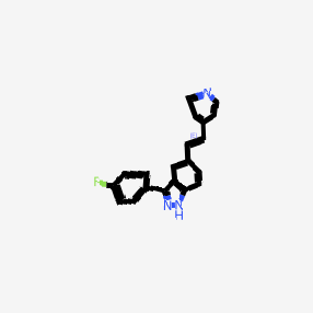 Fc1ccc(-c2n[nH]c3ccc(/C=C/c4ccncc4)cc23)cc1